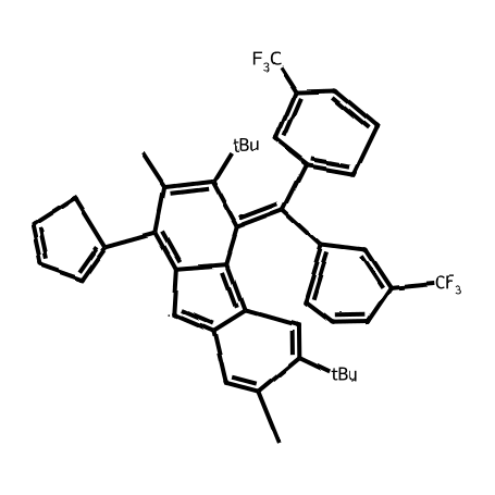 Cc1cc2c(cc1C(C)(C)C)=c1c(c(C3=CC=CC3)c(C)c(C(C)(C)C)c1=C(c1cccc(C(F)(F)F)c1)c1cccc(C(F)(F)F)c1)[C]=2